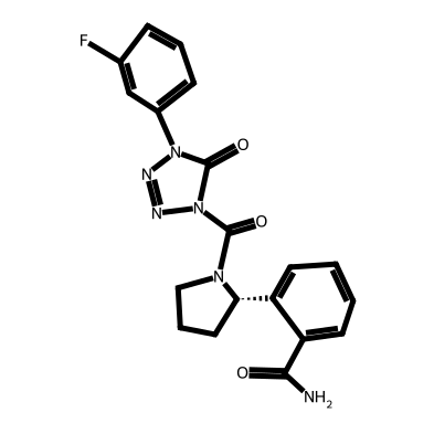 NC(=O)c1ccccc1[C@@H]1CCCN1C(=O)n1nnn(-c2cccc(F)c2)c1=O